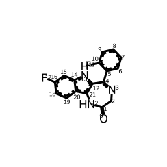 O=C1CN=C(c2ccccc2F)c2[nH]c3cc(F)ccc3c2N1